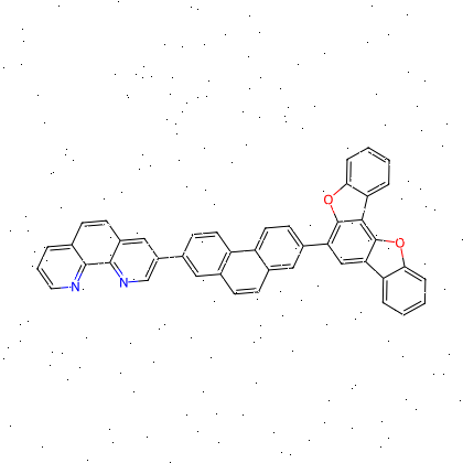 c1cnc2c(c1)ccc1cc(-c3ccc4c(ccc5cc(-c6cc7c8ccccc8oc7c7c6oc6ccccc67)ccc54)c3)cnc12